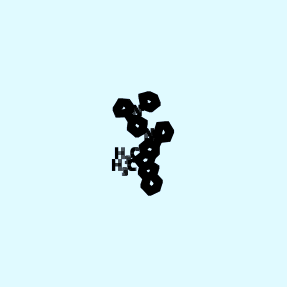 CC1(C)c2cc3ccccc3cc2-c2cc3c4ccccc4n(-c4ccc5c6ccccc6n(-c6ccccc6)c5c4)c3cc21